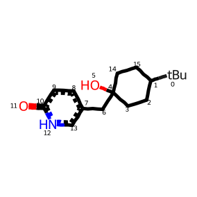 CC(C)(C)C1CCC(O)(Cc2ccc(=O)[nH]c2)CC1